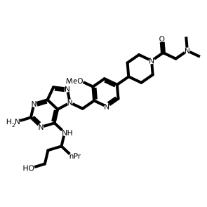 CCCC(CCO)Nc1nc(N)nc2cnn(Cc3ncc(C4CCN(C(=O)CN(C)C)CC4)cc3OC)c12